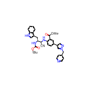 COC(=O)c1cc(-c2cnn(Cc3ccncc3)c2)ccc1N[C@@H](C#N)[C@H](Cc1c[nH]c2ccccc12)NC(=O)OC(C)(C)C